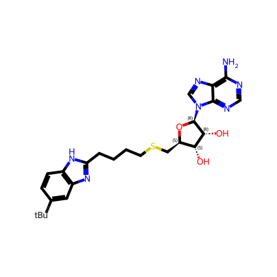 CC(C)(C)c1ccc2[nH]c(CCCCSC[C@H]3O[C@@H](n4cnc5c(N)ncnc54)[C@H](O)[C@@H]3O)nc2c1